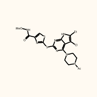 CCc1[nH]c2nc(Sc3nc(C(=O)NOC)cs3)nc(N3CCN(C(C)=O)CC3)c2c1Cl